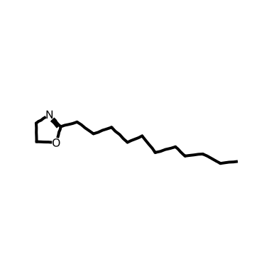 CCCCCCCCCCCC1=NCCO1